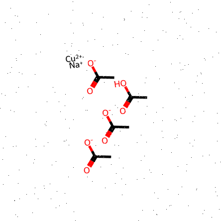 CC(=O)O.CC(=O)[O-].CC(=O)[O-].CC(=O)[O-].[Cu+2].[Na+]